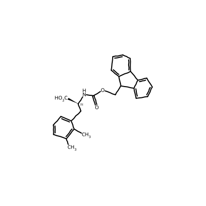 Cc1cccc(C[C@H](NC(=O)OCC2c3ccccc3-c3ccccc32)C(=O)O)c1C